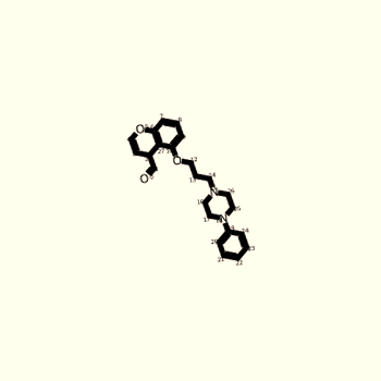 O=CC1C=COc2cccc(OCCCN3CCN(c4ccccc4)CC3)c21